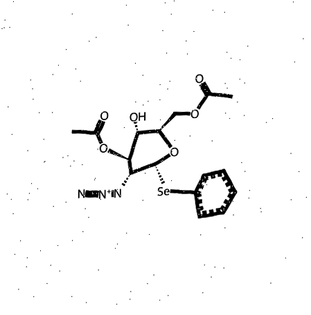 CC(=O)OC[C@H]1O[C@H]([Se]c2ccccc2)[C@H](N=[N+]=[N-])[C@@H](OC(C)=O)[C@@H]1O